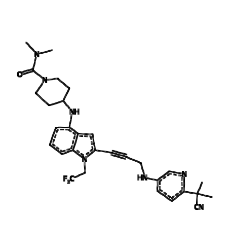 CN(C)C(=O)N1CCC(Nc2cccc3c2cc(C#CCNc2ccc(C(C)(C)C#N)nc2)n3CC(F)(F)F)CC1